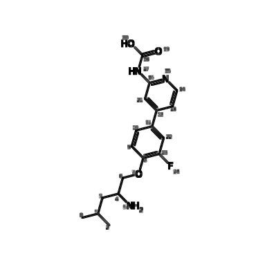 CC(C)CC(N)COc1ccc(-c2ccnc(NC(=O)O)c2)cc1F